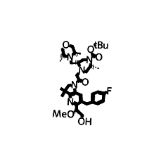 CO[C@@H](CO)c1nc2c(cc1Cc1ccc(F)cc1)N(C(=O)CN1C[C@@H](C)N(C(=O)OC(C)(C)C)C[C@@H]1CN1[C@H](C)COC[C@H]1C)CC2(C)C